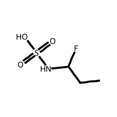 CCC(F)NS(=O)(=O)O